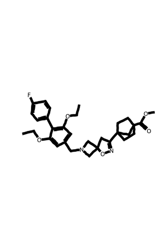 CCOc1cc(CN2CC3(CC(C45CCC(C(=O)OC)(CC4)C5)=NO3)C2)cc(OCC)c1-c1ccc(F)cc1